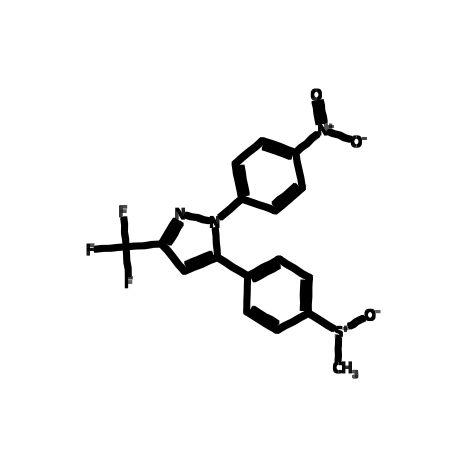 C[S+]([O-])c1ccc(-c2cc(C(F)(F)F)nn2-c2ccc([N+](=O)[O-])cc2)cc1